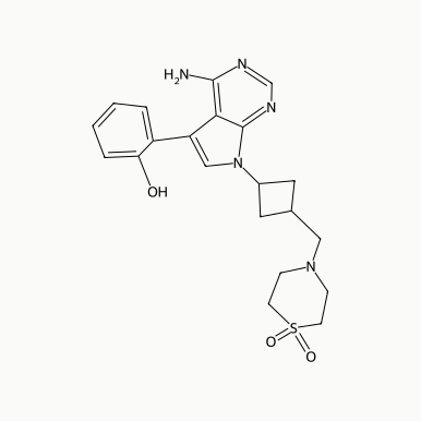 Nc1ncnc2c1c(-c1ccccc1O)cn2C1CC(CN2CCS(=O)(=O)CC2)C1